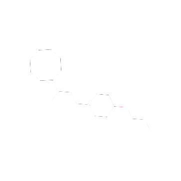 COCOC1CCN(CCN(C)C2CCCCCCC2)CC1